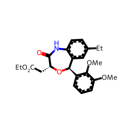 CCOC(=O)C[C@H]1O[C@H](c2cccc(OC)c2OC)c2cc(CC)ccc2NC1=O